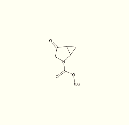 CC(C)(C)OC(=O)N1CC(=O)C2CC21